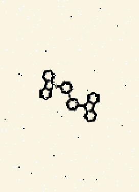 c1cc(-c2cccc(-n3c4ccccc4c4ccccc43)c2)cc(C2c3ccccc3-c3ccccc32)c1